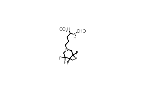 O=CNC(CCCN1CC(F)(F)C(F)(F)C(F)(F)C1)C(=O)O